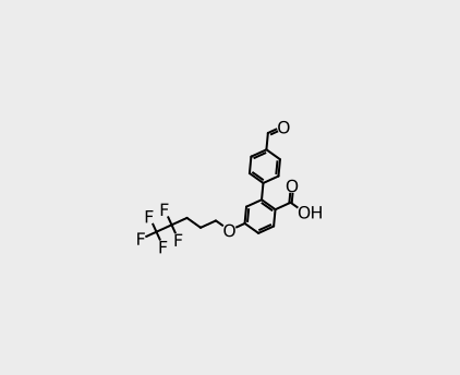 O=Cc1ccc(-c2cc(OCCCC(F)(F)C(F)(F)F)ccc2C(=O)O)cc1